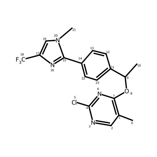 Cc1cnc(Cl)nc1OC(C)c1ccc(-c2nc(C(F)(F)F)cn2C)cc1